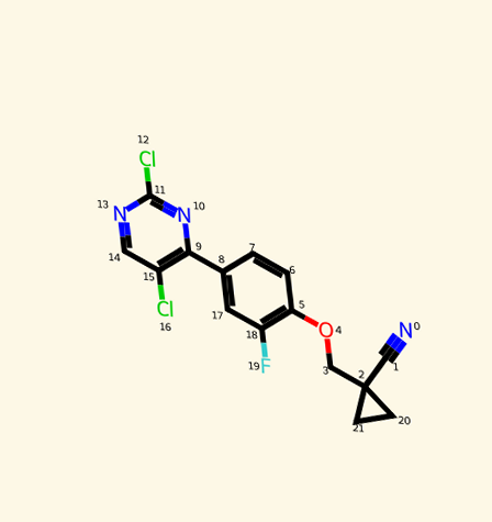 N#CC1(COc2ccc(-c3nc(Cl)ncc3Cl)cc2F)CC1